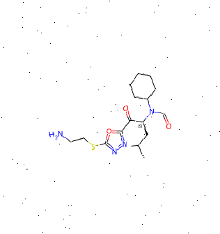 CC(C)C[C@@H](C(=O)c1nnc(SCCN)o1)N(C=O)C1CCCCC1